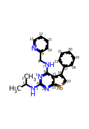 CC(C)Nc1nc(NCc2ccccn2)c2c(-c3ccccc3)csc2n1